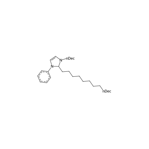 CCCCCCCCCCCCCCCCCCC1N(CCCCCCCCCC)C=CN1c1ccccc1